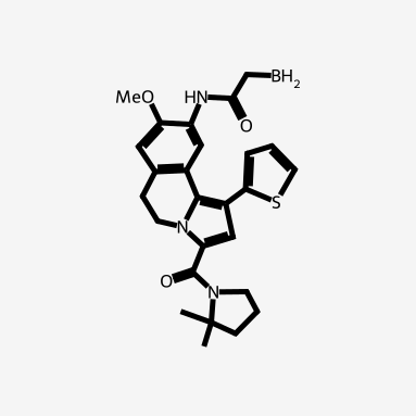 BCC(=O)Nc1cc2c(cc1OC)CCn1c(C(=O)N3CCCC3(C)C)cc(-c3cccs3)c1-2